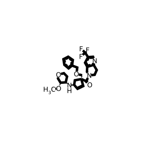 CO[C@@H]1COCC[C@@H]1N[C@@H]1C=C[C@](COCc2ccccc2)(C(=O)N2CCc3ncc(C(F)(F)F)cc3C2)C1